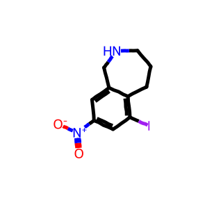 O=[N+]([O-])c1cc(I)c2c(c1)CNCCC2